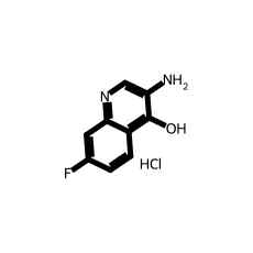 Cl.Nc1cnc2cc(F)ccc2c1O